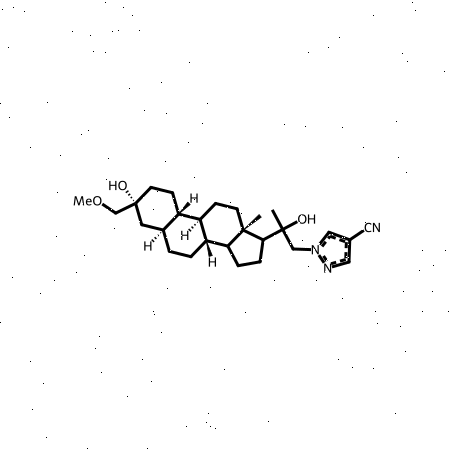 COC[C@@]1(O)CC[C@H]2[C@@H](CC[C@H]3C4CCC(C(C)(O)Cn5cc(C#N)cn5)[C@@]4(C)CC[C@H]23)C1